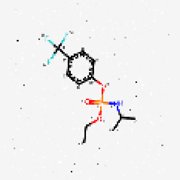 CCOP(=O)(NC(C)C)Oc1ccc(C(F)(F)F)cc1